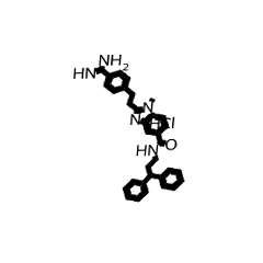 Cl.Cn1c(CCc2ccc(C(=N)N)cc2)nc2cc(C(=O)NCCC(c3ccccc3)c3ccccc3)ccc21